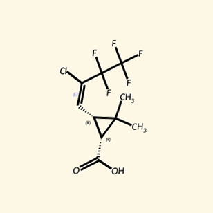 CC1(C)[C@H](C(=O)O)[C@@H]1/C=C(/Cl)C(F)(F)C(F)(F)F